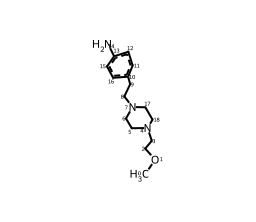 COCCN1CCN(CCc2ccc(N)cc2)CC1